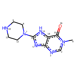 Cn1cnc2nc(N3CCNCC3)[nH]c2c1=O